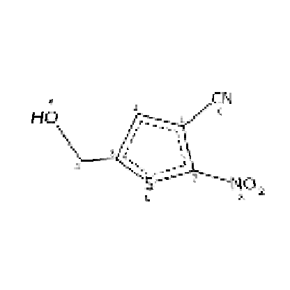 N#Cc1cc(CO)sc1[N+](=O)[O-]